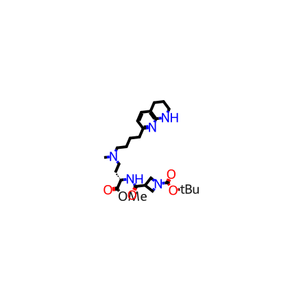 COC(=O)[C@H](CCN(C)CCCCc1ccc2c(n1)NCCC2)NC(=O)C1CN(C(=O)OC(C)(C)C)C1